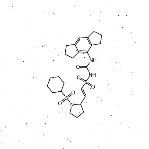 O=C(Nc1c2c(cc3c1CCC3)CCC2)NS(=O)(=O)/C=C/C1CCCN1S(=O)(=O)C1CCCCC1